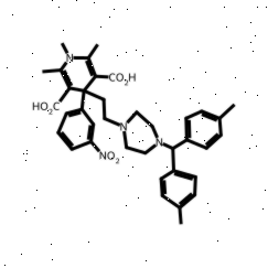 CC1=C(C(=O)O)C(CCN2CCN(C(c3ccc(C)cc3)c3ccc(C)cc3)CC2)(c2cccc([N+](=O)[O-])c2)C(C(=O)O)=C(C)N1C